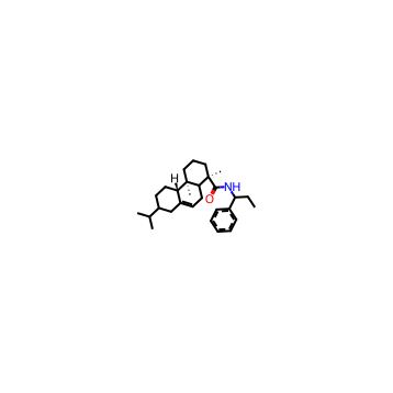 CCC(NC(=O)[C@]1(C)CCC[C@@]2(C)C1CC=C1CC(C(C)C)CC[C@@H]12)c1ccccc1